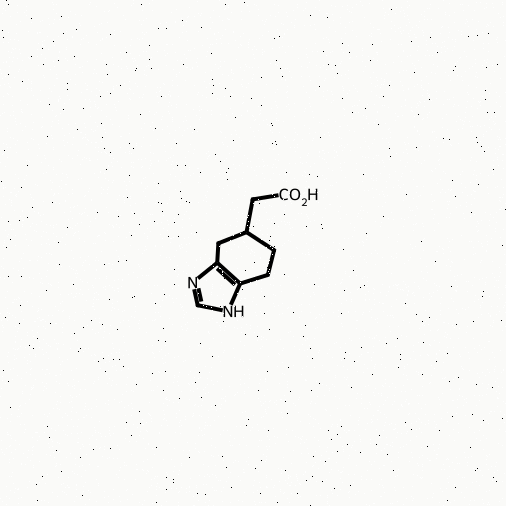 O=C(O)CC1CCc2[nH]cnc2C1